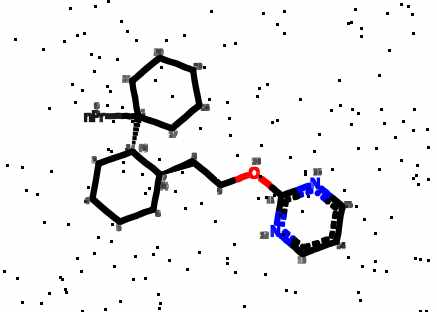 CCCC1([C@H]2CCCC[C@@H]2CCOc2ncccn2)CCCCC1